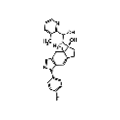 Cc1cccnc1C(O)C[C@]1(O)CCC2=Cc3c(cnn3-c3ccc(F)cc3)C[C@@]21C